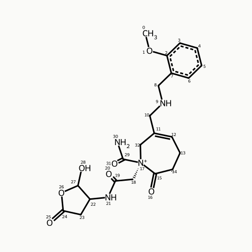 COc1ccccc1CNCC1=CC[C]C(=O)[N@@+](CC(=O)NC2CC(=O)OC2O)(C(N)=O)C1